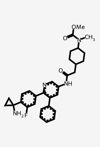 COC(=O)N(C)C1CCC(CC(=O)Nc2cnc(-c3ccc(C4(N)CC4)c(F)c3)c(-c3ccccc3)c2)CC1